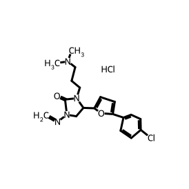 C=NN1CC(c2ccc(-c3ccc(Cl)cc3)o2)N(CCCN(C)C)C1=O.Cl